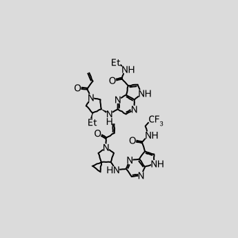 C=CC(=O)N1CC(Nc2cnc3[nH]cc(C(=O)NCC(F)(F)F)c3n2)C2(CC2)C1.C=CC(=O)N1C[C@H](CC)[C@H](Nc2cnc3[nH]cc(C(=O)NCC)c3n2)C1